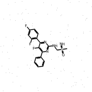 CS(=N)(=O)CNc1nc(-c2ccccc2)c(F)c(-c2ccc(F)cc2F)n1